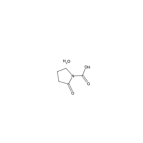 O.O=C(O)N1CCCC1=O